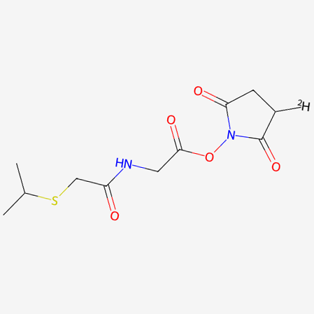 [2H]C1CC(=O)N(OC(=O)CNC(=O)CSC(C)C)C1=O